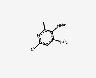 CNc1c(N)cc(Cl)nc1C